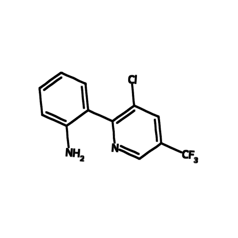 Nc1ccccc1-c1ncc(C(F)(F)F)cc1Cl